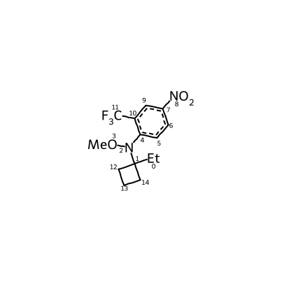 CCC1(N(OC)c2ccc([N+](=O)[O-])cc2C(F)(F)F)CCC1